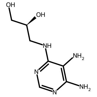 Nc1ncnc(NC[C@H](O)CO)c1N